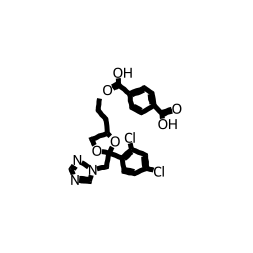 CCCC1COC(Cn2cncn2)(c2ccc(Cl)cc2Cl)O1.O=C(O)c1ccc(C(=O)O)cc1